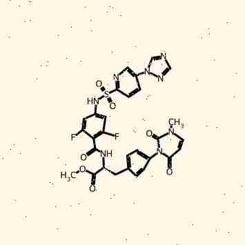 COC(=O)[C@H](Cc1ccc(-n2c(=O)ccn(C)c2=O)cc1)NC(=O)c1c(F)cc(NS(=O)(=O)c2ccc(-n3cncn3)cn2)cc1F